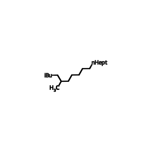 CCCCCCCCCCCCC(C)CC(C)CC